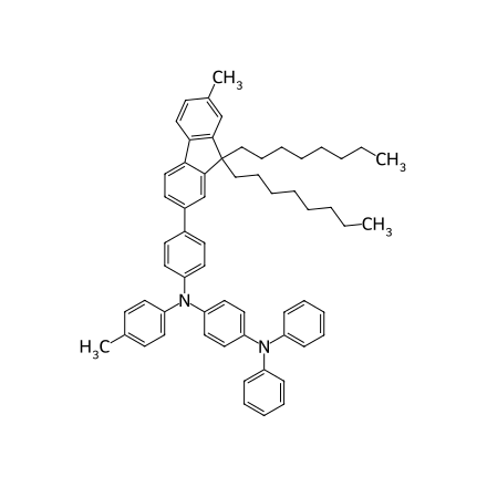 CCCCCCCCC1(CCCCCCCC)c2cc(C)ccc2-c2ccc(-c3ccc(N(c4ccc(C)cc4)c4ccc(N(c5ccccc5)c5ccccc5)cc4)cc3)cc21